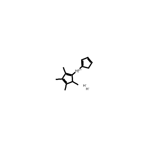 CC1=C(C)C(C)[C]([Hf+2][C]2=CC=CC2)=C1C.[H-].[H-]